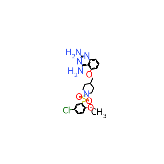 COc1ccc(Cl)cc1S(=O)(=O)N1CCC(COc2cccc3nc(N)nc(N)c23)CC1